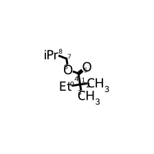 CCC(C)(C)C(=O)OCC(C)C